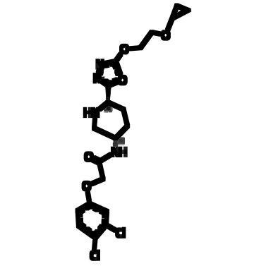 O=C(COc1ccc(Cl)c(Cl)c1)N[C@H]1CC[C@H](c2nnc(OCCOC3CC3)o2)NC1